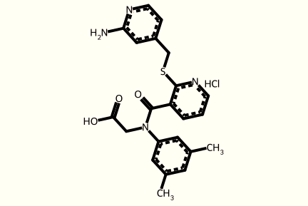 Cc1cc(C)cc(N(CC(=O)O)C(=O)c2cccnc2SCc2ccnc(N)c2)c1.Cl